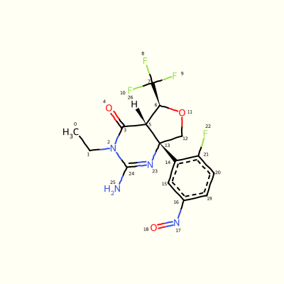 CCN1C(=O)[C@@H]2[C@@H](C(F)(F)F)OC[C@]2(c2cc(N=O)ccc2F)N=C1N